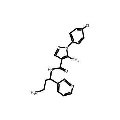 CCCC(NC(=O)c1cnn(-c2ccc(Cl)cc2)c1C)c1cccnc1